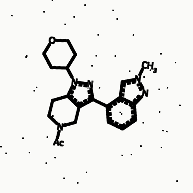 CC(=O)N1CCc2c(c(-c3cccc4nn(C)cc34)nn2C2CCOCC2)C1